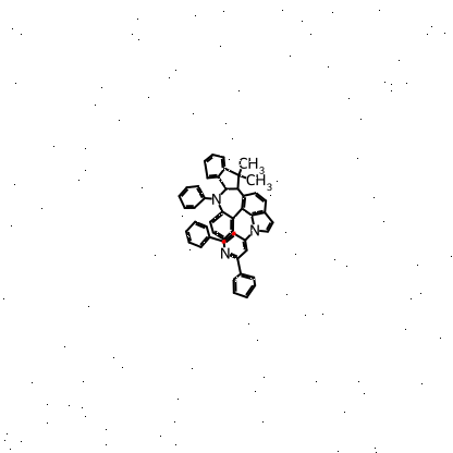 CC1(C)c2ccccc2C2C1c1ccc3ccn(-c4cc(-c5ccccc5)nc(-c5ccccc5)c4)c3c1-c1ccccc1N2c1ccccc1